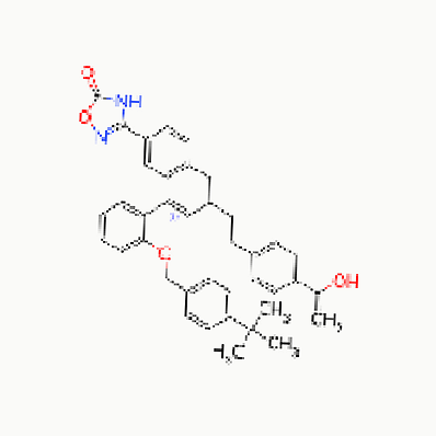 C=C(O)c1ccc(CCC(/C=C/c2ccccc2OCc2ccc(C(C)(C)C)cc2)Cc2ccc(-c3noc(=O)[nH]3)cc2)cc1